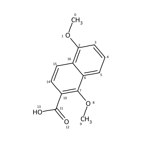 COc1cccc2c(OC)c(C(=O)O)ccc12